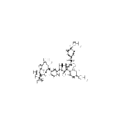 COC[C@H](c1ccnc(NC(=O)[C@@H](NC(=O)C(F)(F)c2ccc(OC)nc2)C2CCC(C)CC2)c1)N1C[C@@H](C(F)(F)F)NC1=O